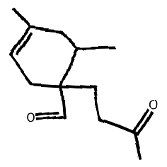 CC(=O)CCC1(C=O)CC=C(C)CC1C